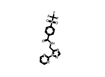 O=C(NCc1ncnn1-c1ncccn1)c1ccc(S(=O)(=O)C(F)(F)F)cc1